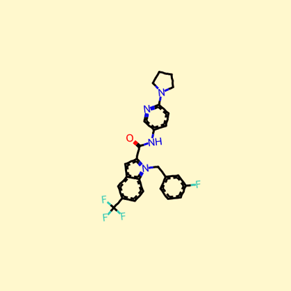 O=C(Nc1ccc(N2CCCC2)nc1)c1cc2cc(C(F)(F)F)ccc2n1Cc1cccc(F)c1